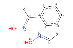 CC(=NO)c1ccccc1.CC=NO